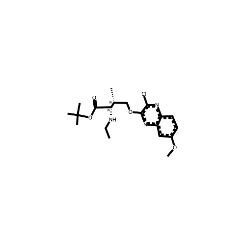 CCN[C@H](C(=O)OC(C)(C)C)[C@H](C)COc1nc2cc(OC)ccc2nc1Cl